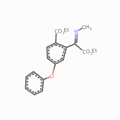 CCOC(=O)C(=NC)c1cc(Oc2ccccc2)ccc1C(=O)OCC